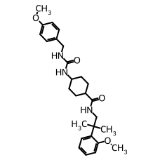 COc1ccc(CNC(=O)NC2CCC(C(=O)NCC(C)(C)c3ccccc3OC)CC2)cc1